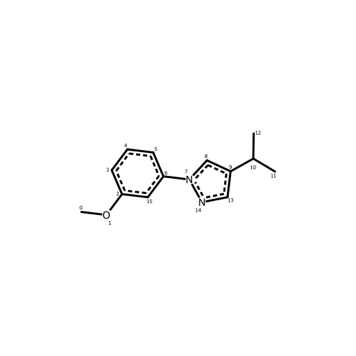 COc1cccc(-n2cc(C(C)C)cn2)c1